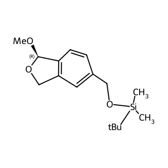 CO[C@@H]1OCc2cc(CO[Si](C)(C)C(C)(C)C)ccc21